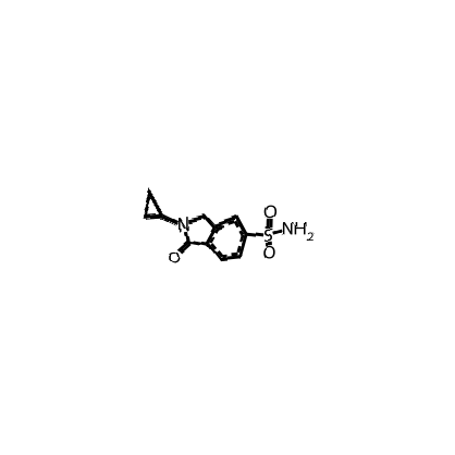 NS(=O)(=O)c1ccc2c(c1)CN(C1CC1)C2=O